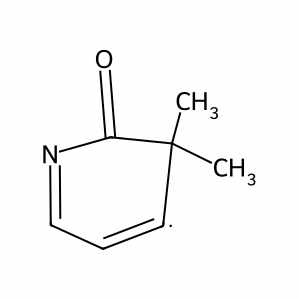 CC1(C)[C]=CC=NC1=O